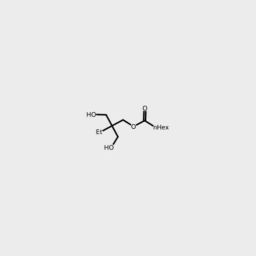 CCCCCCC(=O)OCC(CC)(CO)CO